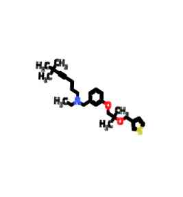 CCN(C/C=C/C#CC(C)(C)C)Cc1cccc(OCC(C)(C)OCc2ccsc2)c1